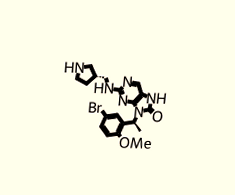 COc1ccc(Br)cc1[C@H](C)n1c(=O)[nH]c2cnc(NC[C@@H]3CCNC3)nc21